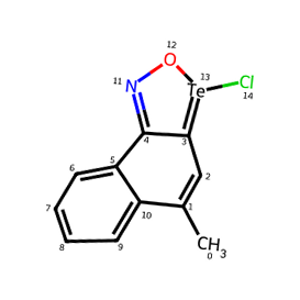 Cc1cc2c(c3ccccc13)=NO[Te]=2Cl